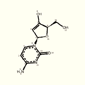 Nc1ccn([C@H]2C=C(O)[C@@H](CO)O2)c(=O)n1